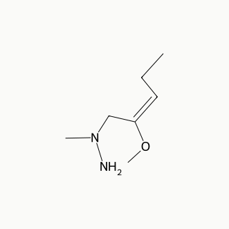 CC/C=C(\CN(C)N)OC